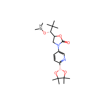 C[SiH](C)O[C@@H](C1CN(c2ccc(B3OC(C)(C)C(C)(C)O3)nc2)C(=O)O1)C(C)(C)C